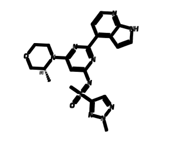 C[C@@H]1COCCN1c1cc(N=S(C)(=O)c2cnn(C)n2)nc(-c2ccnc3[nH]ccc23)n1